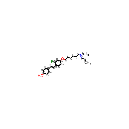 C=CCN(C)CCCCCCOc1ccc(C=Cc2ccc(O)cc2)c(F)c1